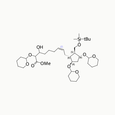 COC(=O)C(OC1CCCCO1)C(O)CCC/C=C\C[C@@H]1[C@@H](CO[Si](C)(C)C(C)(C)C)[C@H](OC2CCCCO2)C[C@H]1OC1CCCCO1